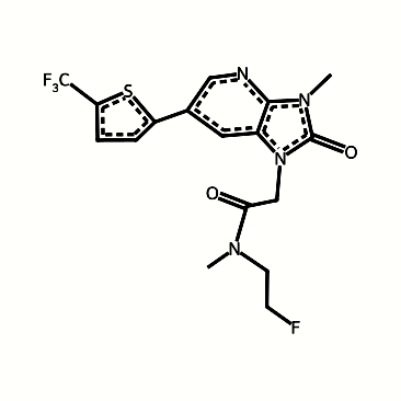 CN(CCF)C(=O)Cn1c(=O)n(C)c2ncc(-c3ccc(C(F)(F)F)s3)cc21